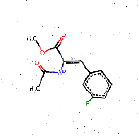 COC(=O)/C(=C/c1cccc(F)c1)NC(C)=O